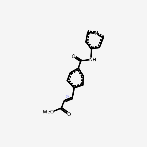 COC(=O)/C=C/c1ccc(C(=O)Nc2ccncc2)cc1